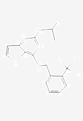 CC(C)Nc1nc(NCc2ccccc2C(F)(F)F)c2sccc2n1